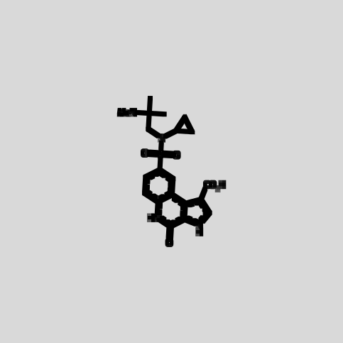 CNC(C)(C)CN(C1CC1)S(=O)(=O)c1ccc2[nH]c(=O)c3[nH]cc(C(=O)O)c3c2c1